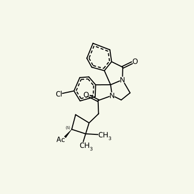 CC(=O)[C@H]1CC(CC(=O)N2CCN3C(=O)c4ccccc4C23c2ccc(Cl)cc2)C1(C)C